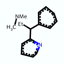 CCC(c1ccccc1)c1ccccn1.CNC